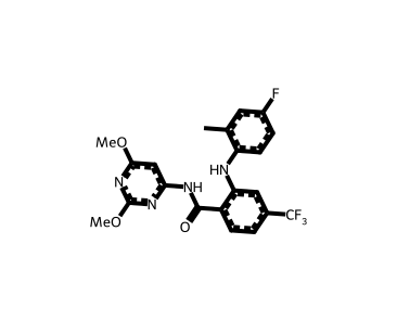 COc1cc(NC(=O)c2ccc(C(F)(F)F)cc2Nc2ccc(F)cc2C)nc(OC)n1